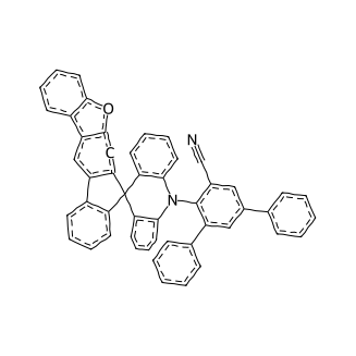 N#Cc1cc(-c2ccccc2)cc(-c2ccccc2)c1N1c2ccccc2C2(c3ccccc3-c3cc4c(cc32)oc2ccccc24)c2ccccc21